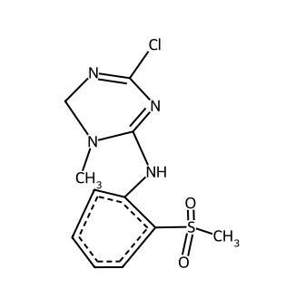 CN1CN=C(Cl)N=C1Nc1ccccc1S(C)(=O)=O